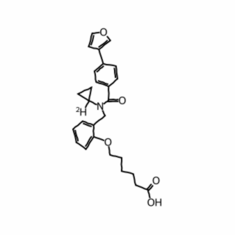 [2H]C1(N(Cc2ccccc2OCCCCCC(=O)O)C(=O)c2ccc(-c3ccoc3)cc2)CC1